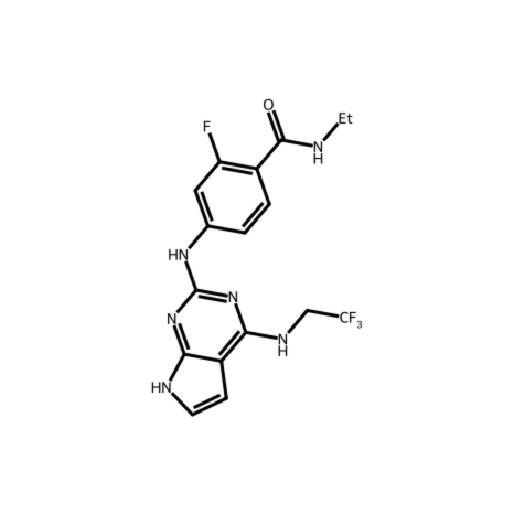 CCNC(=O)c1ccc(Nc2nc(NCC(F)(F)F)c3cc[nH]c3n2)cc1F